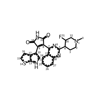 CN1CCC(c2nc(C3=C(c4c[nH]c5sccc45)C(=O)NC3=O)c3ccccc3n2)C(F)C1